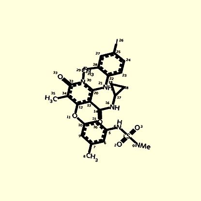 CNS(=O)(=O)Nc1cc(C)cc(Oc2c(C(=O)NC3CC3)c(Nc3ccc(I)cc3F)n(C)c(=O)c2C)c1